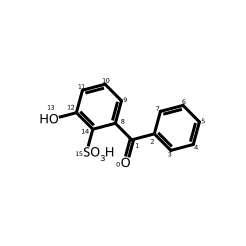 O=C(c1ccccc1)c1cccc(O)c1S(=O)(=O)O